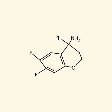 [2H]C1(N)CCOc2cc(F)c(F)cc21